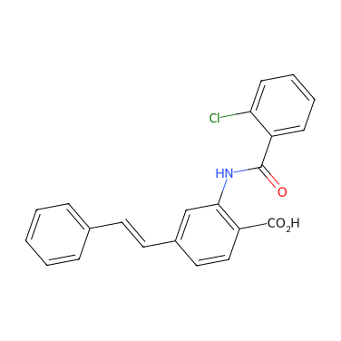 O=C(Nc1cc(C=Cc2ccccc2)ccc1C(=O)O)c1ccccc1Cl